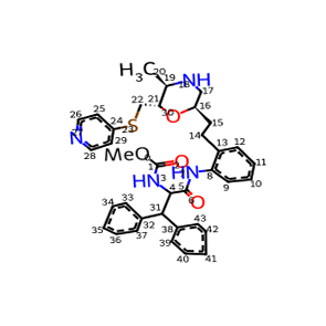 COC(=O)NC(C(=O)Nc1ccccc1CC[C@@H]1CN[C@H](C)[C@@H](CSc2ccncc2)O1)C(c1ccccc1)c1ccccc1